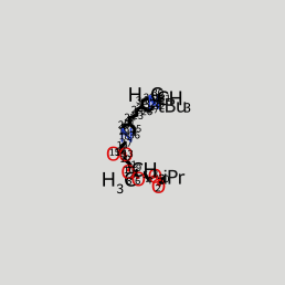 CC(C)C(=O)OCCOC(C)(C)OCCOC(=O)CCN1CCC(CCCC2CCN(C(C)(C)C(C)(C)C)CC2)CC1